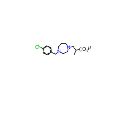 CC(CN1CCCN(Cc2ccc(Cl)cc2)CC1)C(=O)O